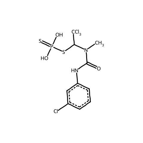 CN(C(=O)Nc1cccc(Cl)c1)C(SP(O)(O)=S)C(Cl)(Cl)Cl